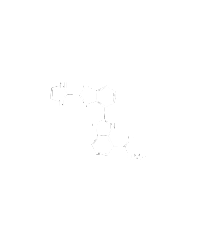 COC(=O)c1cccc2oc(-c3cccc4oc(-c5ncc[nH]5)nc34)nc12